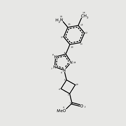 COC(=O)C1CC(n2nnc(-c3ccc(C)c(N)c3)n2)C1